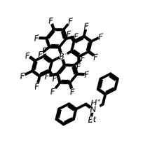 CC[NH+](Cc1ccccc1)Cc1ccccc1.Fc1c(F)c(F)c([B-](c2c(F)c(F)c(F)c(F)c2F)(c2c(F)c(F)c(F)c(F)c2F)c2c(F)c(F)c(F)c(F)c2F)c(F)c1F